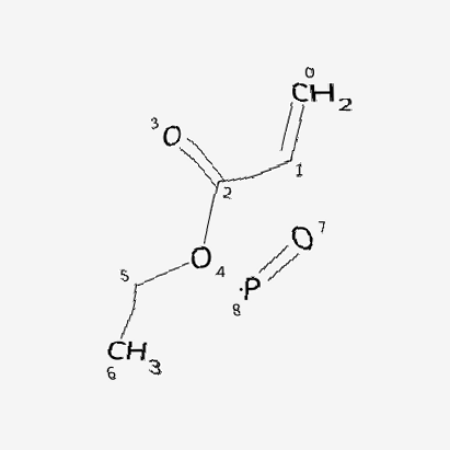 C=CC(=O)OCC.O=[P]